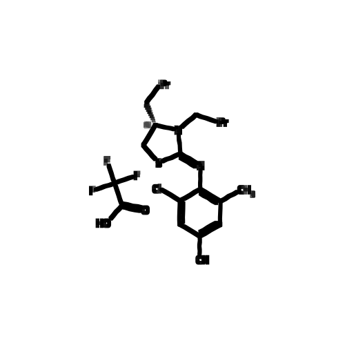 Cc1cc(C#N)cc(Cl)c1N=C1SC[C@H](CC(C)C)N1CC(C)C.O=C(O)C(F)(F)F